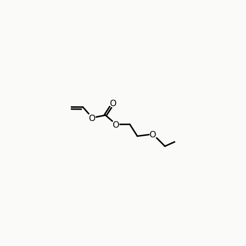 C=COC(=O)OCCOCC